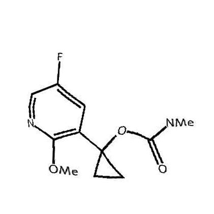 CNC(=O)OC1(c2cc(F)cnc2OC)CC1